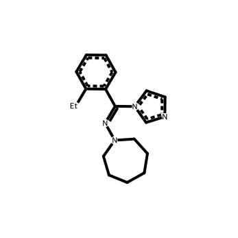 CCc1ccccc1C(=NN1CCCCCC1)n1ccnc1